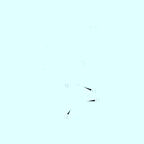 O=C1c2c(O)c(=O)c(O)cn2C[C@@H]2[C@@H]3C[C@@H]3CN12